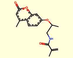 C=C(C)C(=O)NCC(C)Oc1ccc2c(C)cc(=O)oc2c1